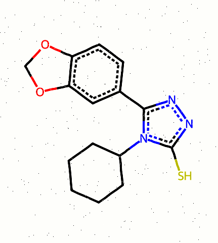 Sc1nnc(-c2ccc3c(c2)OCO3)n1C1CCCCC1